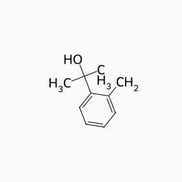 [CH2]c1ccccc1C(C)(C)O